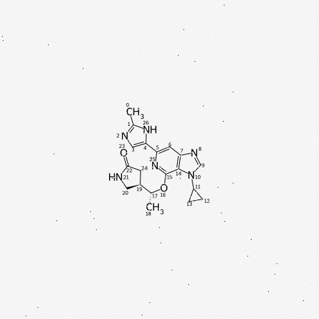 Cc1ncc(-c2cc3ncn(C4CC4)c3c(O[C@H](C)[C@H]3CNC(=O)C3)n2)[nH]1